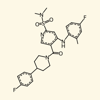 Cc1cc(F)ccc1Nc1cc(S(=O)(=O)N(C)C)ncc1C(=O)N1CCC(c2ccc(F)cc2)CC1